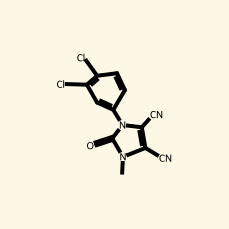 Cn1c(C#N)c(C#N)n(-c2ccc(Cl)c(Cl)c2)c1=O